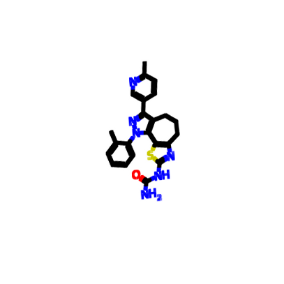 Cc1ccc(-c2nn(-c3ccccc3C)c3c2CCCc2nc(NC(N)=O)sc2-3)cn1